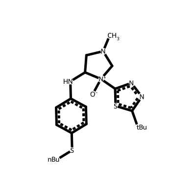 CCCCSc1ccc(NC2CN(C)C[N+]2([O-])c2nnc(C(C)(C)C)s2)cc1